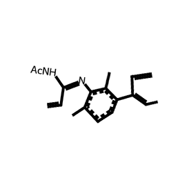 C=C/C(=C\C)c1ccc(C)c(/N=C(\C=C)NC(C)=O)c1C